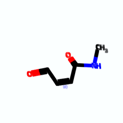 CNC(=O)/C=C\C=O